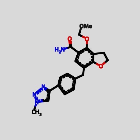 COCOc1c(C(N)=O)cc(Cc2ccc(-c3cn(C)nn3)cc2)c2c1CCO2